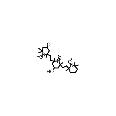 CON1C(C)(C)CCCC1(C)CCC1(C)CC(O)CC(C)(CCC2(C)CC(=O)CC(C)(C)N2OC)N1OC